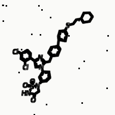 O=C1CN(c2cccc(-n3cc(-c4ccc(Cl)cc4Cl)nc3Cc3ccc(-c4ccc(SCCC5CCCCC5)cc4)cc3)c2)S(=O)(=O)N1